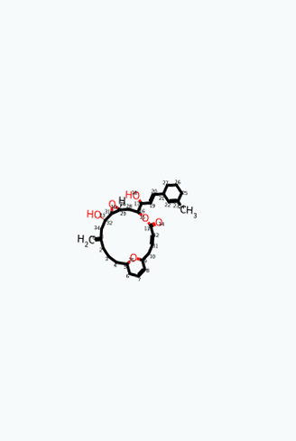 C=C1CCCC2CC=CC(C/C=C\C(=O)OC(C(O)/C=C/C3C=C(C)CCC3)C[C@@H]3OC3[C@@H](O)C1)O2